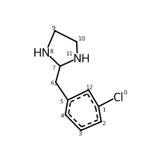 Clc1cccc([CH]C2NCCN2)c1